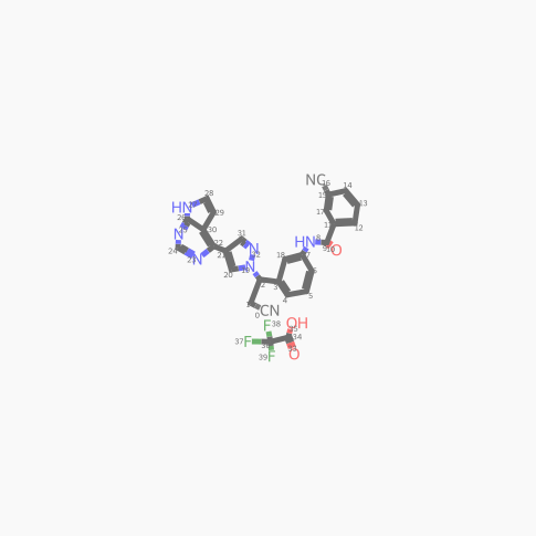 N#CCC(c1cccc(NC(=O)c2cccc(C#N)c2)c1)n1cc(-c2ncnc3[nH]ccc23)cn1.O=C(O)C(F)(F)F